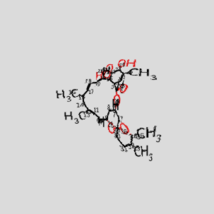 CC1=C[C@H]2C(=O)O[C@H]3C[C@@H](C/C=C(\C)C[C@@H](C)/C=C/C=C4\CO[C@H]([C@@H]1O)[C@@]42O)OC1(CC[C@H](C)[C@@H](C)O1)C3